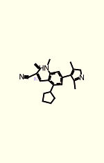 C=C/C(C#N)=C\c1c(NC)cc(C2=C(C)CN=C2C)cc1C1CCCC1